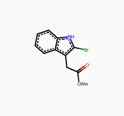 COC(=O)Cc1c(Br)[nH]c2ccccc12